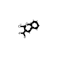 FC(F)c1cc2ccccc2nc1Cl